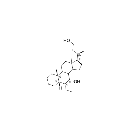 CC[C@H]1[C@@H](O)C2C3CC[C@H]([C@H](C)CCO)C3(C)CCC2[C@@]2(C)CCCC[C@@H]12